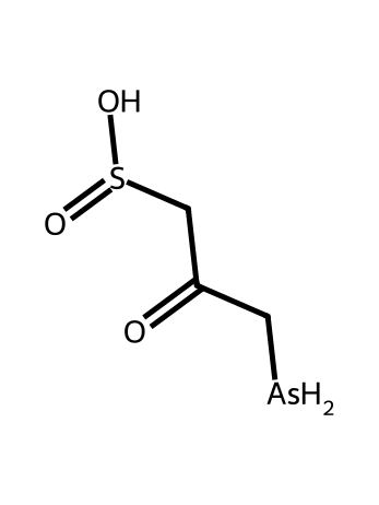 O=C(C[AsH2])CS(=O)O